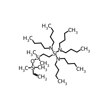 C=C[Si](C)(C)O[Si](C)(C)CC[Si](N(CCCC)CCCC)(N(CCCC)CCCC)N(CCCC)CCCC